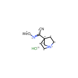 CON=C(C#N)C12CCN(CC1)C2.Cl